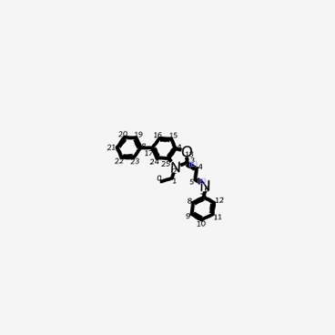 CCN1/C(=C\C=N\c2ccccc2)Oc2ccc(-c3ccccc3)cc21